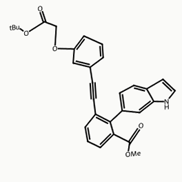 COC(=O)c1cccc(C#Cc2cccc(OCC(=O)OC(C)(C)C)c2)c1-c1ccc2cc[nH]c2c1